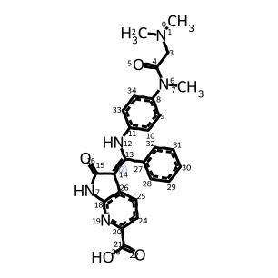 CN(C)CC(=O)N(C)c1ccc(N/C(=C2\C(=O)Nc3nc(C(=O)O)ccc32)c2ccccc2)cc1